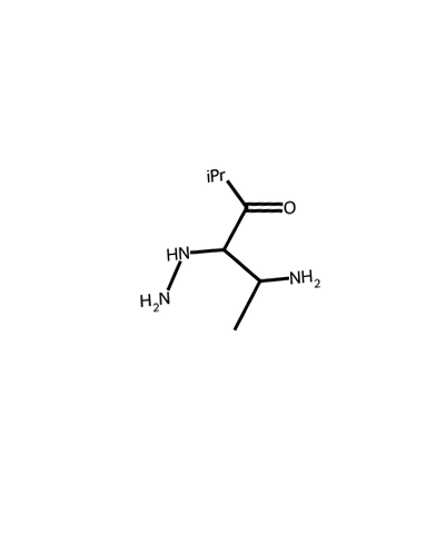 CC(C)C(=O)C(NN)C(C)N